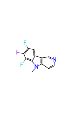 Cn1c2ccncc2c2cc(F)c(I)c(F)c21